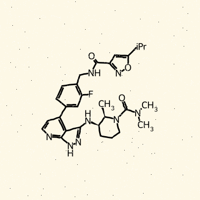 CC(C)c1cc(C(=O)NCc2ccc(-c3ccnc4[nH]nc(N[C@@H]5CCCN(C(=O)N(C)C)[C@@H]5C)c34)cc2F)no1